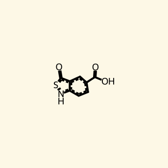 O=C(O)c1ccc2[nH]sc(=O)c2c1